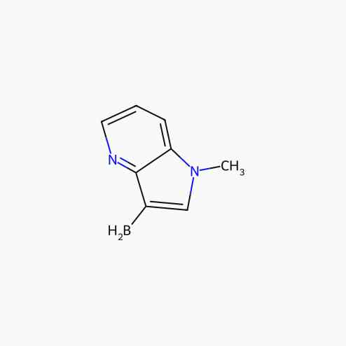 Bc1cn(C)c2cccnc12